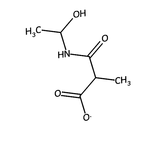 CC(O)NC(=O)C(C)C([O])=O